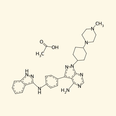 CC(=O)O.CN1CCN(C2CCC(n3nc(-c4ccc(Nc5n[nH]c6ccccc56)cc4)c4c(N)ncnc43)CC2)CC1